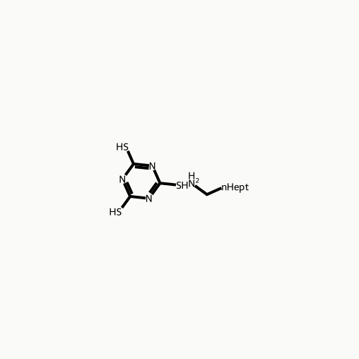 CCCCCCCCN.Sc1nc(S)nc(S)n1